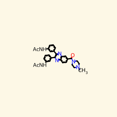 CC(=O)Nc1cccc(-c2nc3ccc(C(=O)N4CCN(C)CC4)cc3nc2-c2cccc(NC(C)=O)c2)c1